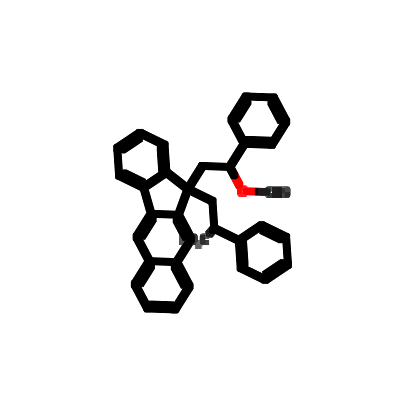 O=COC(CC1(CC(C(=O)O)c2ccccc2)c2ccccc2-c2cc3ccccc3cc21)c1ccccc1